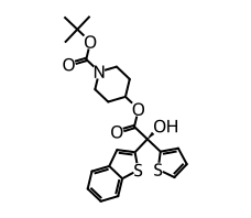 CC(C)(C)OC(=O)N1CCC(OC(=O)[C@](O)(c2cccs2)c2cc3ccccc3s2)CC1